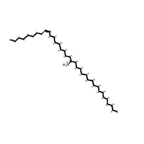 CCCCCCCC/C=C\CCCCCCCCC(N)CCCCCCCCCCCCCCCCC